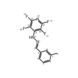 Cc1cccc(C=NNc2c(F)c(F)nc(F)c2F)c1